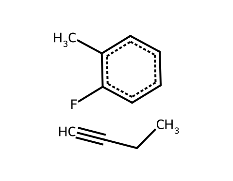 C#CCC.Cc1ccccc1F